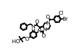 CC(C)(O)COc1ccc(-n2c(C(=O)NCc3ccccc3)c3n(c2=O)CCN(C(=O)c2ccc(Br)c(Cl)c2)C3)cc1